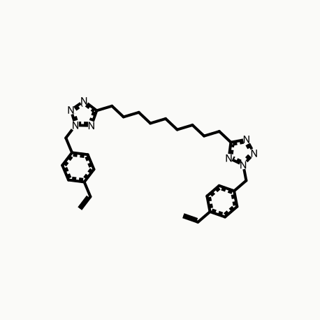 C=Cc1ccc(Cn2nnc(CCCCCCCCCc3nnn(Cc4ccc(C=C)cc4)n3)n2)cc1